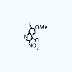 COc1cc2c(Cl)c([N+](=O)[O-])cnc2cc1I